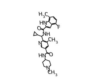 Cc1cc(C(=O)NC2CCN(C)CC2)cnc1C(NC(=O)c1cc2c(F)ccc(C)c2[nH]1)C1CC1